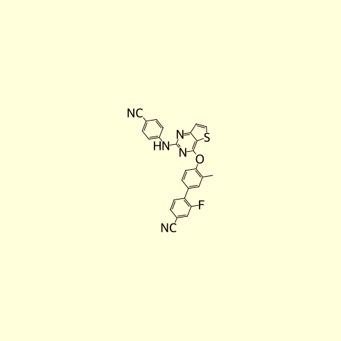 Cc1cc(-c2ccc(C#N)cc2F)ccc1Oc1nc(Nc2ccc(C#N)cc2)nc2ccsc12